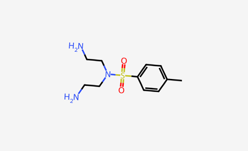 Cc1ccc(S(=O)(=O)N(CCN)CCN)cc1